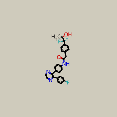 CC(O)C(F)(F)c1ccc(CC(=O)Nc2ccc(-c3nccnc3-c3ccc(F)cc3)cc2)cc1